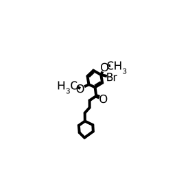 COC1C=CC(Br)(OC)C=C1C(=O)CCCC1CCCCC1